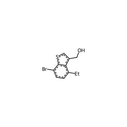 CCc1ccc(Br)c2scc(CO)c12